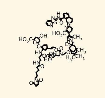 CCC1(Cn2ncc(-c3ccc(N4CCc5cccc(C(=O)Nc6nc7cccnc7s6)c5C4)nc3C(=O)O)c2C)CC2(C)CC(C)(C)CC(OCCN(CCCP(=O)(O)O)C(=O)OC/C=C/c3ccc(O[C@H]4C[C@@H](O)C[C@@H](C(=O)O)O4)c(NC(=O)CCNC(=O)CCCCCN4C(=O)C=CC4=O)c3)(C2)C1